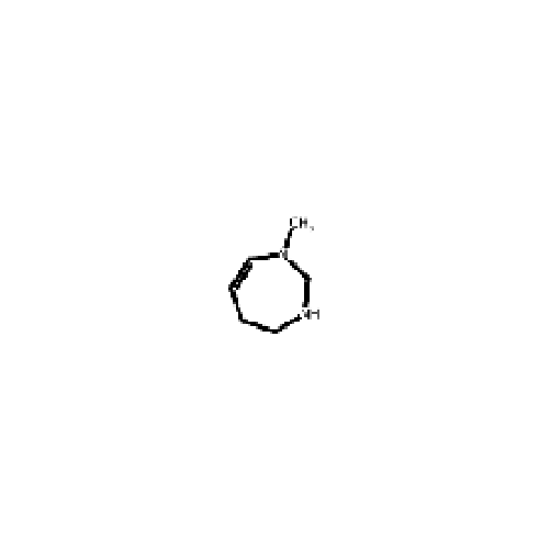 CN1C=CCCNC1